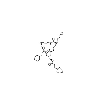 CN(C)CCCSC(=O)N(CCCC=O)CCCC(=O)OC(COC(=O)CCC1CCCCC1)COC(=O)CCC1CCCCC1